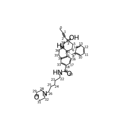 CC#C[C@@]1(O)CC[C@@]2(Cc3ccccc3)c3ccc(C(=O)NCCCCCN4CCOCC4)cc3CC[C@@H]2C1